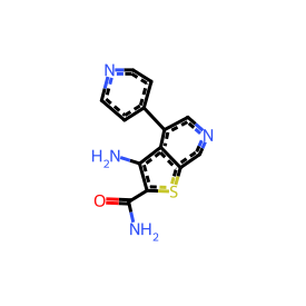 NC(=O)c1sc2cncc(-c3ccncc3)c2c1N